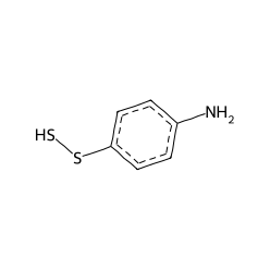 Nc1ccc(SS)cc1